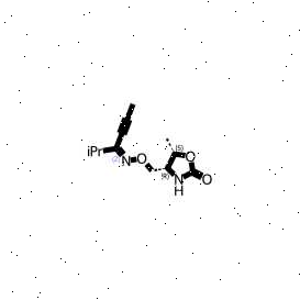 CC#C/C(=N\OC[C@H]1NC(=O)O[C@H]1C)C(C)C